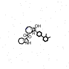 Cc1cccc(-c2ccc([C@@H]3[C@@H](O)N4C/C=C\CN(S(=O)(=O)C5CNC6CCCCCN65)C[C@@H]34)cc2)c1C